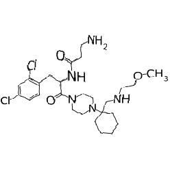 COCCNCC1(N2CCN(C(=O)C(Cc3ccc(Cl)cc3Cl)NC(=O)CCN)CC2)CCCCC1